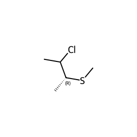 CS[C@H](C)C(C)Cl